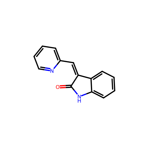 O=C1Nc2ccccc2/C1=C/c1ccccn1